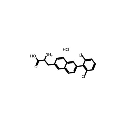 Cl.NC(Cc1ccc2cc(-c3c(Cl)cccc3Cl)ccc2c1)C(=O)O